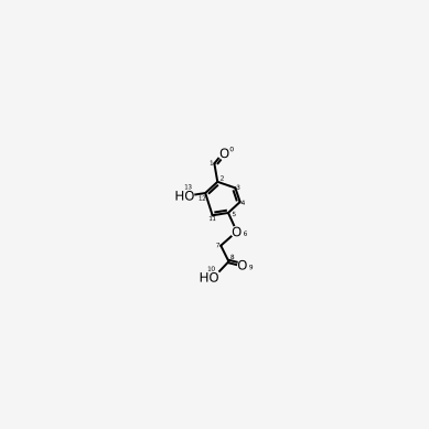 O=Cc1ccc(OCC(=O)O)cc1O